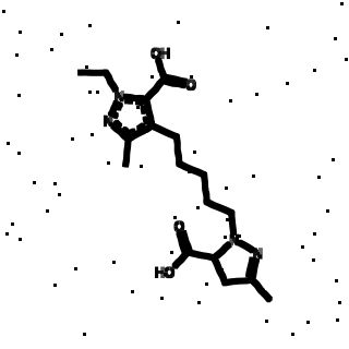 CCn1nc(C)c(CCCCCN2N=C(C)CC2C(=O)O)c1C(=O)O